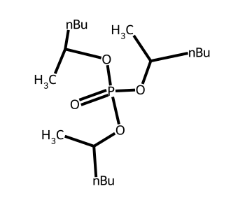 CCCCC(C)OP(=O)(OC(C)CCCC)OC(C)CCCC